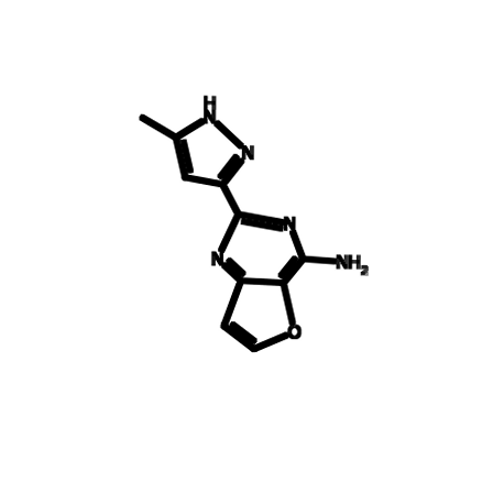 Cc1cc(-c2nc(N)c3occc3n2)n[nH]1